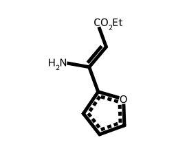 CCOC(=O)C=C(N)c1ccco1